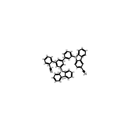 N#Cc1ccc2c(c1)c1ccccc1n2-c1cccc(-c2cc(-c3ccccc3C#N)cc(-n3c4ccccc4c4ccccc43)c2)c1